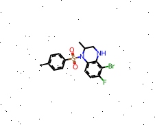 Cc1ccc(S(=O)(=O)N2c3ccc(F)c(Br)c3NCC2C)cc1